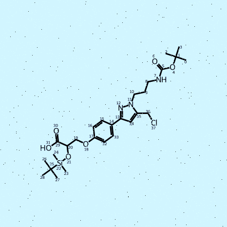 CC(C)(C)OC(=O)NCCCn1nc(-c2ccc(OCC(O[Si](C)(C)C(C)(C)C)C(=O)O)cc2)cc1CCl